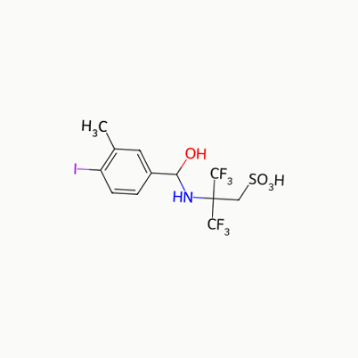 Cc1cc(C(O)NC(CS(=O)(=O)O)(C(F)(F)F)C(F)(F)F)ccc1I